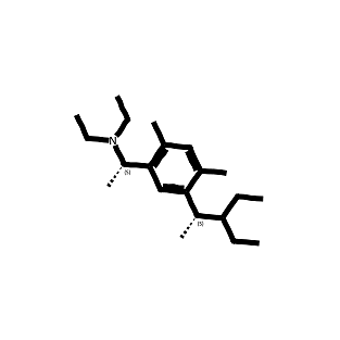 CCC(CC)[C@H](C)c1cc([C@H](C)N(CC)CC)c(C)cc1C